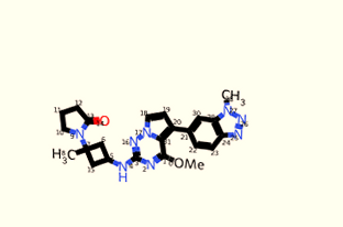 COc1nc(NC2CC(C)(N3CCCC3=O)C2)nn2ccc(-c3ccc4nnn(C)c4c3)c12